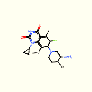 CCC1CCN(C2C(OC)=c3c(c(=O)[nH]c(=O)n3C3CC3)=C(C)C2F)CC1N